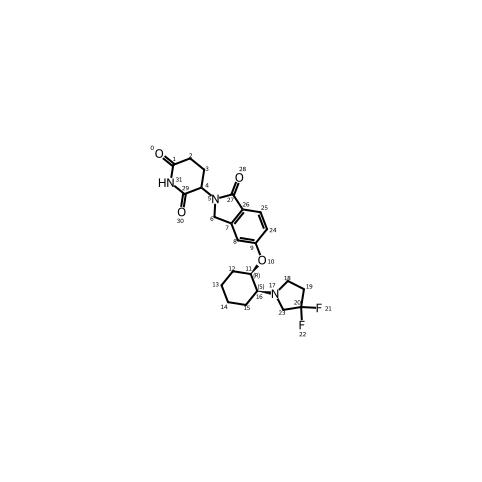 O=C1CCC(N2Cc3cc(O[C@@H]4CCCC[C@@H]4N4CCC(F)(F)C4)ccc3C2=O)C(=O)N1